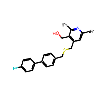 CC(C)c1cc(CSCc2ccc(-c3ccc(F)cc3)cc2)c(CO)c(C(C)C)n1